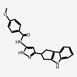 COc1ccc(C(=O)Nc2cc(C3Cc4[nH]c5ccccc5c4C3)n[nH]2)cc1